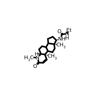 CCNC(=O)N[C@H]1CCC2C3CC[C@H]4N(C)C(=O)C=C[C@]4(C)C3CC[C@@]21C